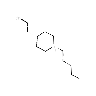 CCCCC[Si@H]1CC[C@H](CCBr)CC1